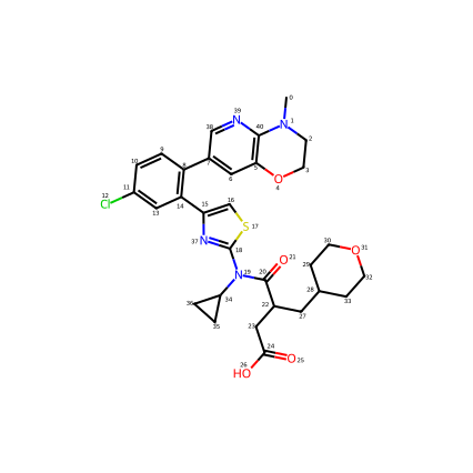 CN1CCOc2cc(-c3ccc(Cl)cc3-c3csc(N(C(=O)C(CC(=O)O)CC4CCOCC4)C4CC4)n3)cnc21